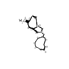 C=C1C=CN2CN(CC3CCCCCCC3)CC2=C1